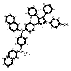 Cc1ccc(-c2sc(-c3ccc(N(c4ccc(N(C)c5ccc6ccccc6c5)cc4)c4ccc5ccccc5c4)cc3)c(-c3ccccc3)c2-c2ccccc2)cc1